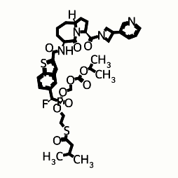 CC(C)CC(=O)SCCOP(=O)(OCOC(=O)OC(C)C)[C@H](F)c1ccc2sc(C(=O)N[C@H]3CCC[C@H]4CC[C@@H](C(=O)N5CC(c6cccnc6)C5)N4C3=O)cc2c1